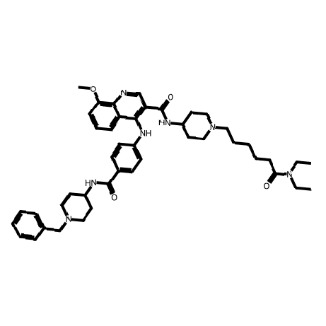 CCN(CC)C(=O)CCCCCN1CCC(NC(=O)c2cnc3c(OC)cccc3c2Nc2ccc(C(=O)NC3CCN(Cc4ccccc4)CC3)cc2)CC1